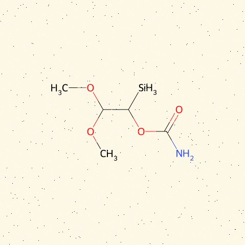 COC(OC)C([SiH3])OC(N)=O